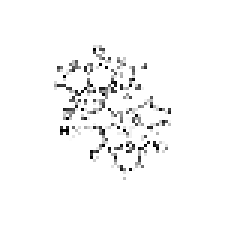 Cc1c2c(=O)c3cccc4c(=O)c5ccccc5n(c2cc2c1c(=O)c1cccc5c(=O)c6ccccc6n2c51)c43